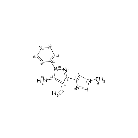 Cc1c(-c2cn(C)cn2)nn(-c2ccccc2)c1N